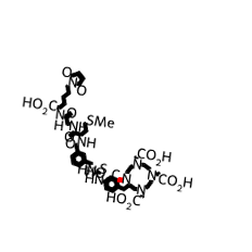 CSCCC(NC(=O)c1cccc(CNC(=S)Nc2ccc(CC3CN(CC(=O)O)CCN(CC(=O)O)CCN(CC(=O)O)CCN3CC(=O)O)cc2)c1)C(=O)NCC(=O)NC(CCCCN1C(=O)C=CC1=O)C(=O)O